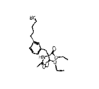 CCOC(=O)C(Cc1cccc(CCCCBr)c1)(NC(C)=O)C(=O)OCC